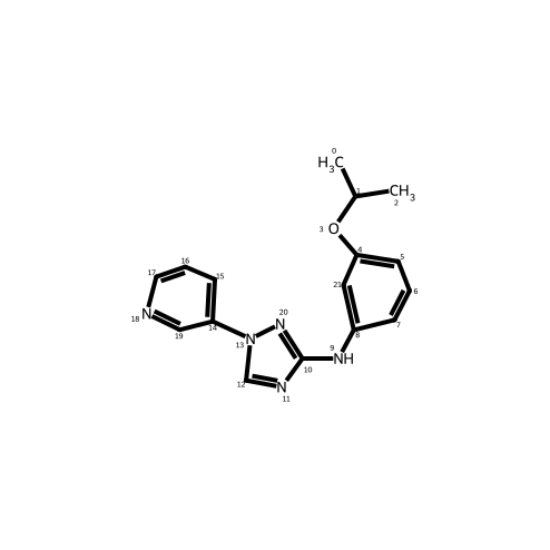 CC(C)Oc1cccc(Nc2ncn(-c3cccnc3)n2)c1